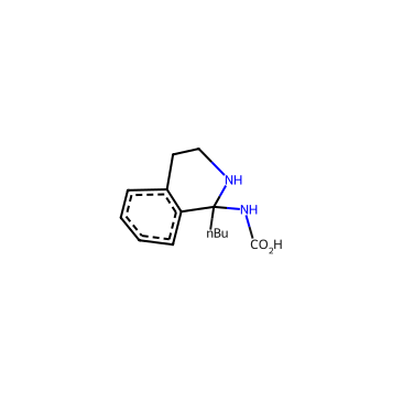 CCCCC1(NC(=O)O)NCCc2ccccc21